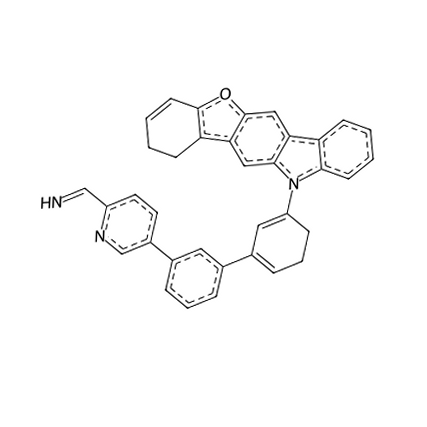 N=Cc1ccc(-c2cccc(C3=CCCC(n4c5ccccc5c5cc6oc7c(c6cc54)CCC=C7)=C3)c2)cn1